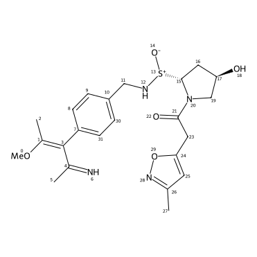 CO/C(C)=C(\C(C)=N)c1ccc(CN[S+]([O-])[C@@H]2C[C@@H](O)CN2C(=O)Cc2cc(C)no2)cc1